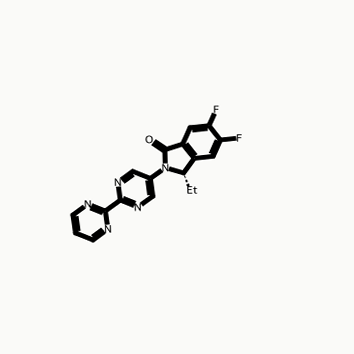 CC[C@H]1c2cc(F)c(F)cc2C(=O)N1c1cnc(-c2ncccn2)nc1